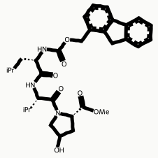 COC(=O)[C@@H]1CC(O)CN1C(=O)[C@@H](NC(=O)[C@H](CC(C)C)NC(=O)OCc1cccc2c1Cc1ccccc1-2)C(C)C